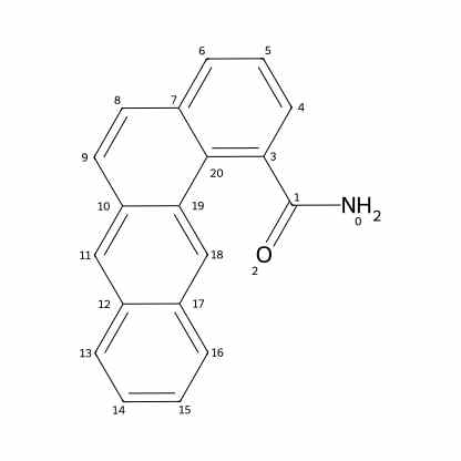 NC(=O)c1cccc2ccc3cc4ccccc4cc3c12